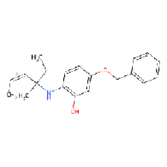 C/C=C\C(C)(CC)Nc1ccc(OCc2ccccc2)cc1O